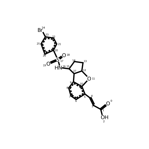 O=C(O)C=Cc1cccc2c1OC1CCC(NS(=O)(=O)c3ccc(Br)cc3)C21